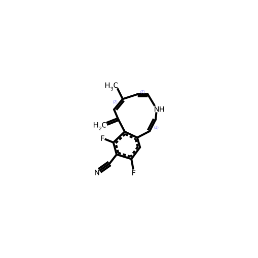 C=C1/C=C(C)\C=C/N/C=C\c2cc(F)c(C#N)c(F)c21